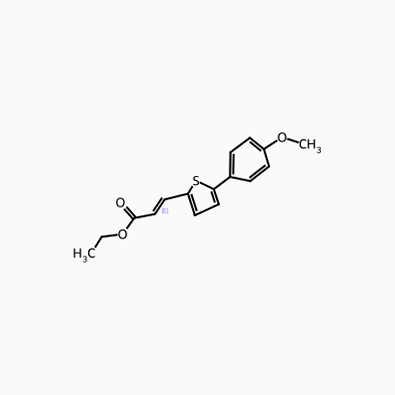 CCOC(=O)/C=C/c1ccc(-c2ccc(OC)cc2)s1